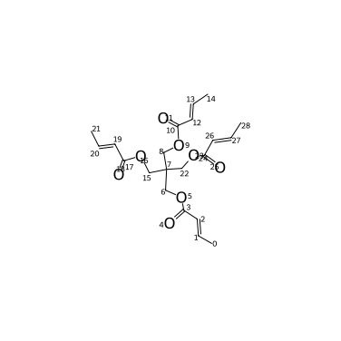 C/C=C/C(=O)OCC(COC(=O)/C=C/C)(COC(=O)/C=C/C)COC(=O)/C=C/C